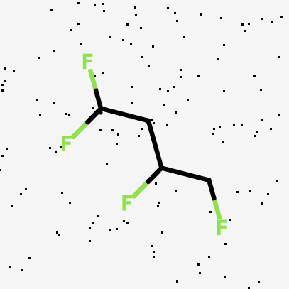 FCC(F)C[C](F)F